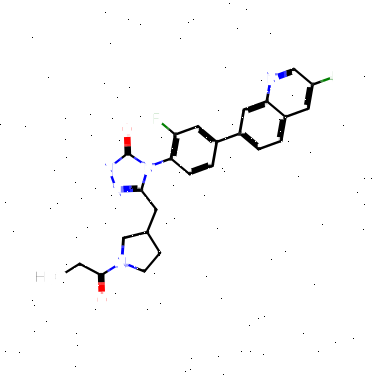 CCC(=O)N1CCC(Cc2n[nH]c(=O)n2-c2ccc(-c3ccc4cc(F)cnc4c3)cc2F)C1